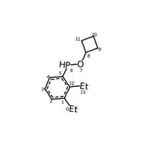 CCc1cccc(POC2CCC2)c1CC